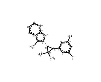 Cc1c([C@@H]2[C@@H](c3cc(Cl)cc(Cl)c3)C2(C)C)nc2ncccn12